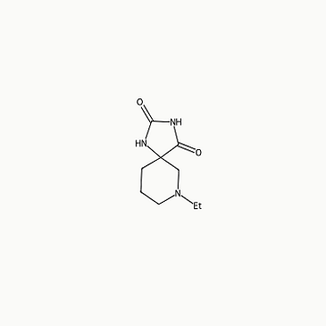 CCN1CCCC2(C1)NC(=O)NC2=O